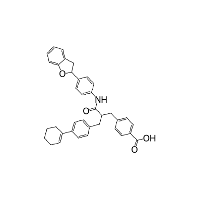 O=C(O)c1ccc(CC(Cc2ccc(C3=CCCCC3)cc2)C(=O)Nc2ccc(C3Cc4ccccc4O3)cc2)cc1